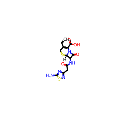 C=CC1=C(C(=O)O)N2C(=O)C(NC(=O)Cc3nsc(N)n3)[C@@H]2SC1